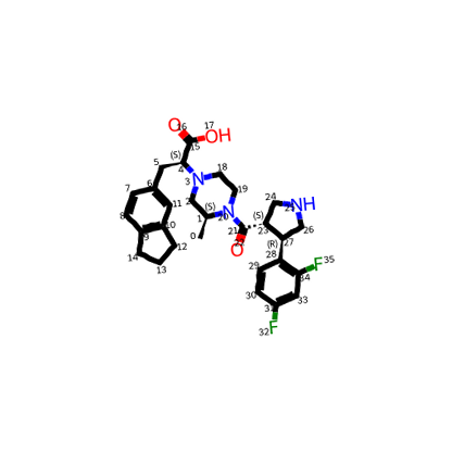 C[C@H]1CN([C@@H](Cc2ccc3c(c2)CCC3)C(=O)O)CCN1C(=O)[C@@H]1CNC[C@H]1c1ccc(F)cc1F